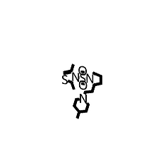 CC1=CSC(C)N1S(=O)(=O)N1CCCC1CCN1CCC(C)CC1